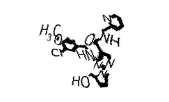 COc1ccc(CNc2nc(N3CCCC3CO)ncc2C(=O)NCc2ccccn2)cc1Cl